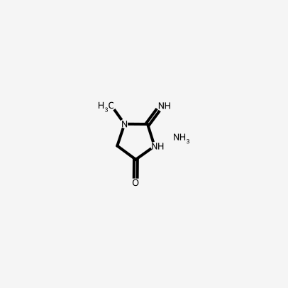 CN1CC(=O)NC1=N.N